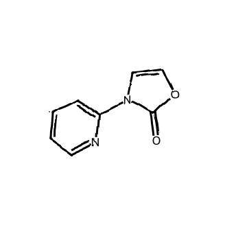 O=c1occn1-c1c[c]ccn1